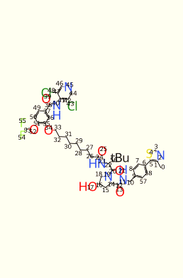 Cc1ncsc1-c1ccc(CNC(=O)C2CC(O)CN2C(=O)C(NC(=O)CCCCCCCCOc2cc(C(=O)Nc3c(Cl)cncc3Cl)ccc2OC(F)F)C(C)(C)C)cc1